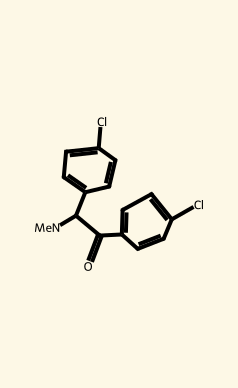 CNC(C(=O)c1ccc(Cl)cc1)c1ccc(Cl)cc1